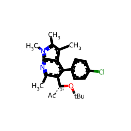 CC(=O)[C@@H](OC(C)(C)C)c1c(C)nc2c(c(C)c(C)n2C)c1-c1ccc(Cl)cc1